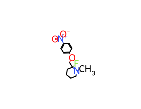 CN1CCCCC1(F)COc1ccc([N+](=O)[O-])cc1